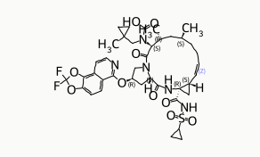 C[C@H]1CC/C=C\[C@@H]2C[C@@]2(C(=O)NS(=O)(=O)C2CC2)NC(=O)[C@@H]2C[C@@H](Oc3nccc4c5c(ccc34)OC(F)(F)O5)CN2C(=O)[C@@H](N(CC2(C)CC2)C(=O)O)[C@H](C)C1